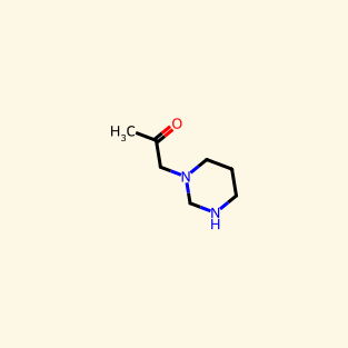 CC(=O)CN1CCCNC1